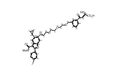 CNC(=O)c1c(-c2ccc(F)cc2)oc2cc(NCCOCCOCCOCc3cccc(C(=O)/C=C(\O)C(=O)O)c3)c(C3CC3)cc12